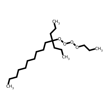 CCCCCCCCCCC(CCC)(CCC)OOOOCCC